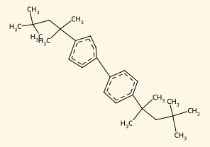 CC(C)(C)CC(C)(C)c1ccc(-c2ccc(C(C)(C)CC(C)(C)C)cc2)cc1